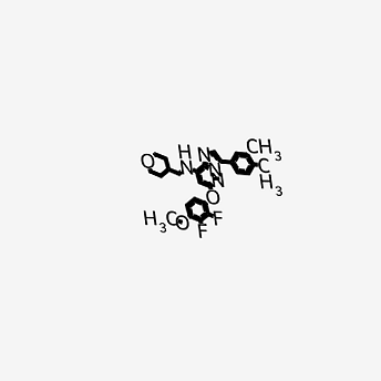 COc1ccc(Oc2cc(NCC3CCOCC3)c3ncc(-c4ccc(C)c(C)c4)n3n2)c(F)c1F